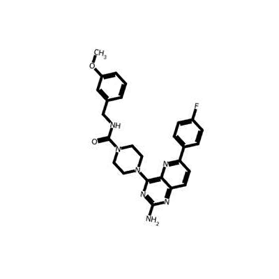 COc1cccc(CNC(=O)N2CCN(c3nc(N)nc4ccc(-c5ccc(F)cc5)nc34)CC2)c1